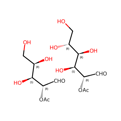 CC(=O)O[C@@H](C=O)[C@@H](O)[C@H](O)CO.CC(=O)O[C@@H](C=O)[C@@H](O)[C@H](O)[C@H](O)CO